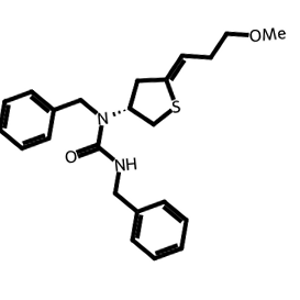 COCC/C=C1/C[C@@H](N(Cc2ccccc2)C(=O)NCc2ccccc2)CS1